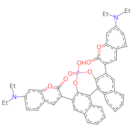 CCN(CC)c1ccc2cc(-c3cc4ccccc4c4c3OP(=O)(O)Oc3c(-c5cc6ccc(N(CC)CC)cc6oc5=O)cc5ccccc5c3-4)c(=O)oc2c1